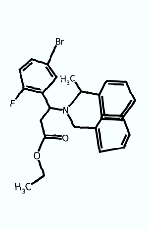 CCOC(=O)CC(c1cc(Br)ccc1F)N(Cc1ccccc1)C(C)c1ccccc1